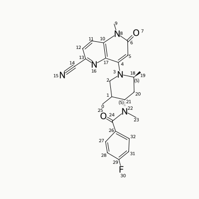 CC1CN(c2cc(=O)n(C)c3ccc(C#N)nc23)[C@@H](C)C[C@@H]1N(C)C(=O)c1ccc(F)cc1